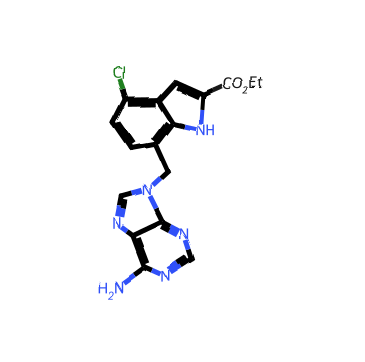 CCOC(=O)c1cc2c(Cl)ccc(Cn3cnc4c(N)ncnc43)c2[nH]1